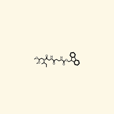 CCC(C)N(CC(OC)OC)C(=O)CNC(=O)CCNC(=O)OCC1c2ccccc2-c2ccccc21